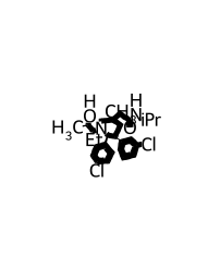 CCC([C@H](C)O)N1C[C@@](C)(CC(=O)NC(C)C)C[C@H](c2cccc(Cl)c2)[C@H]1c1ccc(Cl)cc1